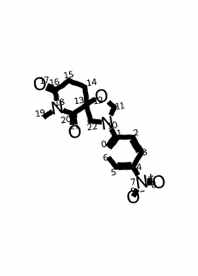 C=C(/C=C\C(=C/C)[N+](=O)[O-])N1COC2(CCC(=O)N(C)C2=O)C1